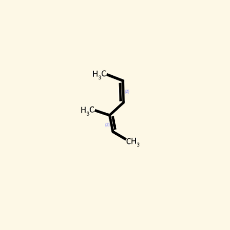 C/C=C\C(C)=C/C